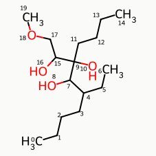 CCCCC(CC)C(O)C(O)(CCCC)C(O)COC